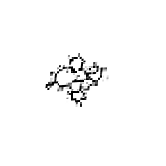 COC(=O)c1cccc2c1-c1c(C3CCCCC3)c3sccc3n1CC(=O)CO2